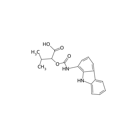 CC(C)C(OC(=O)Nc1cccc2c1[nH]c1ccccc12)C(=O)O